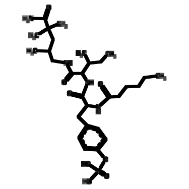 CCCCCC(=O)NC(Cc1ccc(OP(=O)(O)O)cc1)C(=O)NC(C(=O)NCC(C)CC(C)(C)C(N)=O)C(C)CC